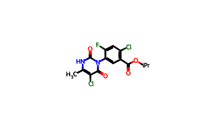 Cc1[nH]c(=O)n(-c2cc(C(=O)OC(C)C)c(Cl)cc2F)c(=O)c1Cl